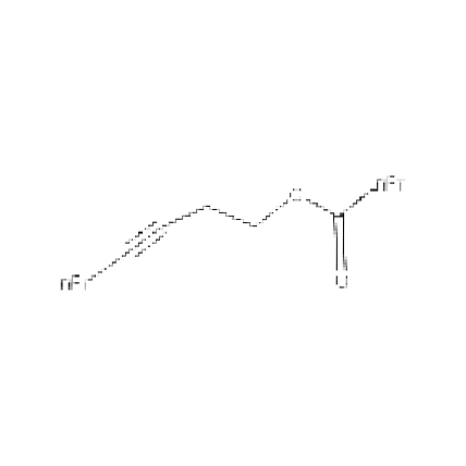 CCCC#CCCOC(=O)CCC